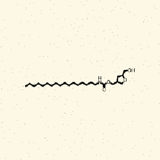 CCCCCCCCCCCCCCCCCNC(=O)OCC1COC(CO)C1